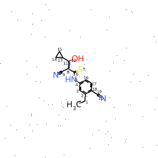 CCc1cc(NC(=S)/C(C#N)=C(\O)C2CC2)ccc1C#N